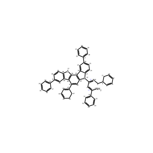 N/C(=C\C(=N/CC1C=CC=CC1)n1c2ccc(-c3ccccc3)cc2c2c3sc4ccc(-c5ccccc5)cc4c3c(C3=CC=CCC3)cc21)c1ccccc1